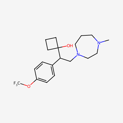 CN1CCCN(CC(c2ccc(OC(F)(F)F)cc2)C2(O)CCC2)CC1